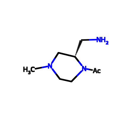 CC(=O)N1CCN(C)C[C@@H]1CN